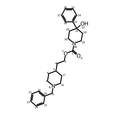 O=C(OCCC1CCN(Cc2ccccc2)CC1)N1CCC(O)(c2ccccc2)CC1